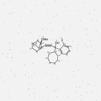 CO[C@]1(C#CC(O)(c2cccnc2F)C2CCCCCC2)CN2CCC1CC2